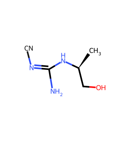 C[C@@H](CO)N/C(N)=N\C#N